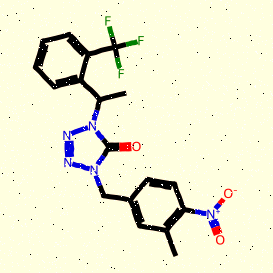 Cc1cc(Cn2nnn(C(C)c3ccccc3C(F)(F)F)c2=O)ccc1[N+](=O)[O-]